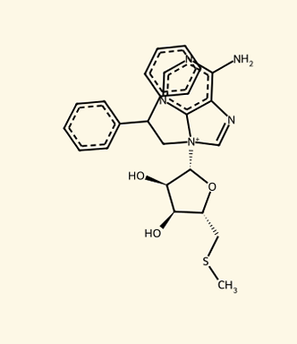 CSC[C@H]1O[C@@H]([N+]2(CC(c3ccccc3)c3ccccc3)C=Nc3c(N)ncnc32)[C@H](O)[C@@H]1O